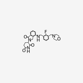 O=C1CCC(N2Cc3c(NCc4cccc(CN5CCOCC5)c4F)cccc3C2=O)C(=O)N1